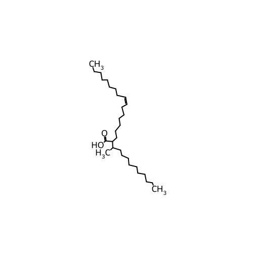 CCCCCCCC/C=C\CCCCCCC(C(=O)O)C(C)CCCCCCCCCC